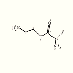 C[C@H](N)C(=O)OCCN